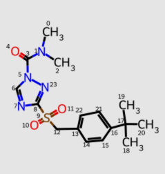 CN(C)C(=O)n1cnc(S(=O)(=O)Cc2ccc(C(C)(C)C)cc2)n1